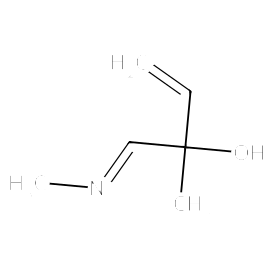 C=CC(C)(O)C=NC